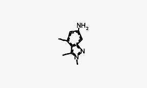 Cc1cc(N)cc2nn(C)c(C)c12